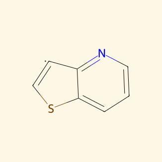 [c]1csc2cccnc12